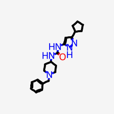 O=C(Nc1cc(C2CCCC2)n[nH]1)NC1CCN(Cc2ccccc2)CC1